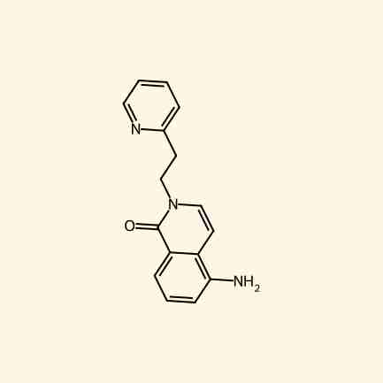 Nc1cccc2c(=O)n(CCc3ccccn3)ccc12